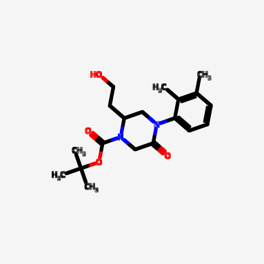 Cc1cccc(N2CC(CCO)N(C(=O)OC(C)(C)C)CC2=O)c1C